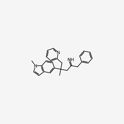 Cn1ccc2cc(C(C)(CC(=N)Cc3ccccc3)Cc3ccccn3)ccc21